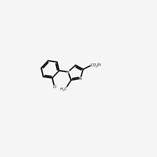 CCOC(=O)c1cn(-c2ccccc2Cl)c(C)n1